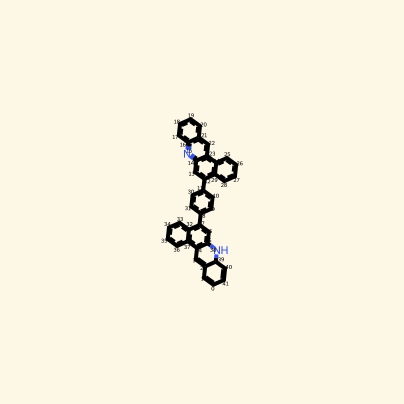 C1=CC2=Cc3c(cc(-c4ccc(-c5cc6nc7ccccc7cc6c6ccccc56)cc4)c4ccccc34)NC2C=C1